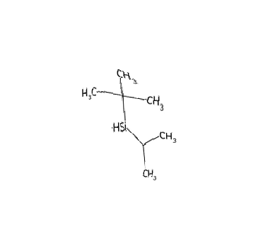 CC(C)[SiH]C(C)(C)C